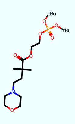 CC(C)(C)OP(=O)(OCCOC(=O)C(C)(C)CCN1CCOCC1)OC(C)(C)C